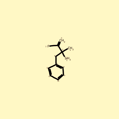 C=C(F)C(C)([SiH3])Cc1ccccc1